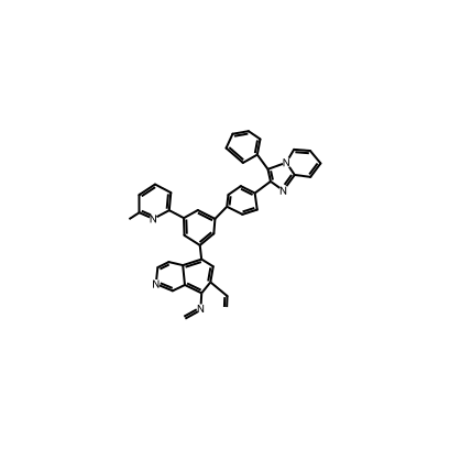 C=Cc1cc(-c2cc(-c3ccc(-c4nc5ccccn5c4-c4ccccc4)cc3)cc(-c3cccc(C)n3)c2)c2ccncc2c1N=C